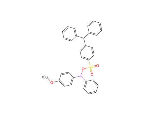 CC(C)(C)Oc1ccc([I+](OS(=O)(=O)c2ccc(C(c3ccccc3)c3ccccc3)cc2)c2ccccc2)cc1